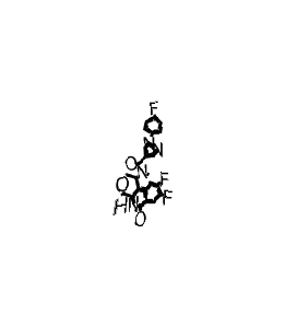 CN(C(=O)c1cnn(-c2ccc(F)cc2)c1)C1COCc2[nH]c(=O)c3cc(F)c(F)cc3c21